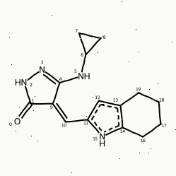 O=C1NN=C(NC2CC2)/C1=C\c1cc2c([nH]1)CCCC2